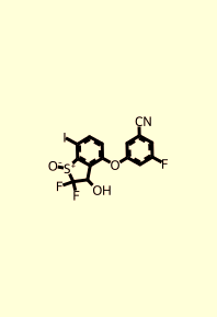 N#Cc1cc(F)cc(Oc2ccc(I)c3c2C(O)C(F)(F)[S+]3[O-])c1